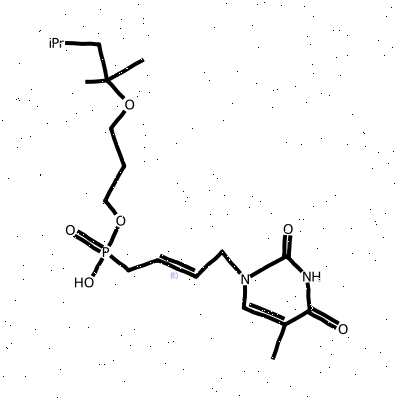 Cc1cn(C/C=C/CP(=O)(O)OCCCOC(C)(C)CC(C)C)c(=O)[nH]c1=O